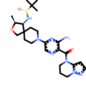 C[C@@H]1OCC2(CCN(c3cnc(C(=O)N4CCCn5nccc54)c(N)n3)CC2)[C@@H]1N[S@+]([O-])C(C)(C)C